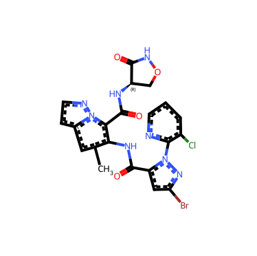 Cc1cc2ccnn2c(C(=O)N[C@@H]2CONC2=O)c1NC(=O)c1cc(Br)nn1-c1ncccc1Cl